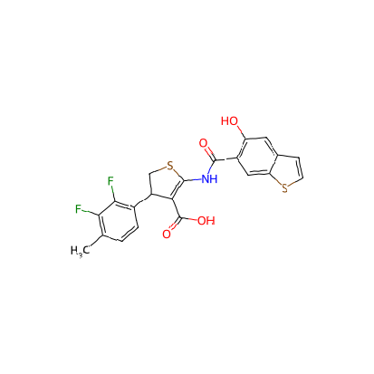 Cc1ccc(C2CSC(NC(=O)c3cc4sccc4cc3O)=C2C(=O)O)c(F)c1F